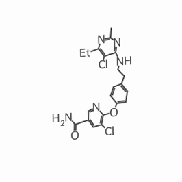 CCc1nc(C)nc(NCCc2ccc(Oc3ncc(C(N)=O)cc3Cl)cc2)c1Cl